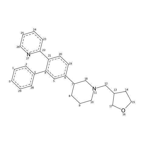 c1ccc(-c2cc(C3CCCN(CC4CCOC4)C3)ccc2-c2ccccn2)cc1